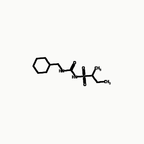 CCC(C)S(=O)(=O)NC(=O)NCC1CCCCC1